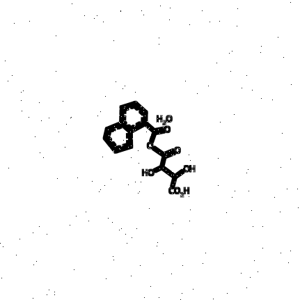 O.O=C(OC(=O)C(O)C(O)C(=O)O)c1cccc2ccccc12